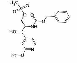 CC(C)Oc1cc(C(O)[C@@H](COS(C)(=O)=O)NC(=O)OCc2ccccc2)ccn1